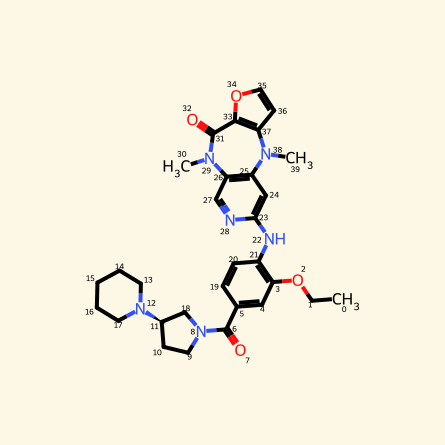 CCOc1cc(C(=O)N2CC[C@@H](N3CCCCC3)C2)ccc1Nc1cc2c(cn1)N(C)C(=O)c1occc1N2C